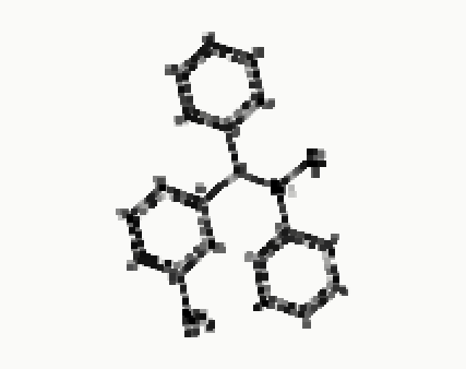 CCN(c1ccccc1)C(c1ccccc1)c1cccc(N)c1